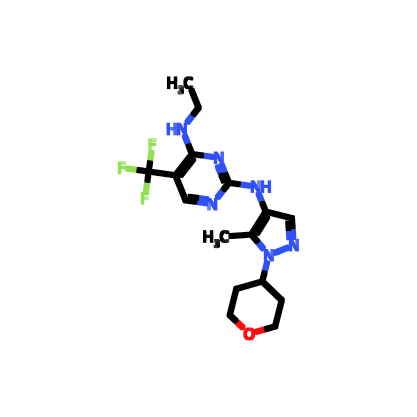 CCNc1nc(Nc2cnn(C3CCOCC3)c2C)ncc1C(F)(F)F